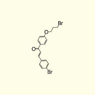 O=C(C=Cc1ccc(Br)cc1)c1ccc(OCCCBr)cc1